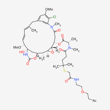 COc1cc2cc(c1Cl)N(C)C(=O)C[C@H](OC(=O)[C@H](C)N(C)C(=O)CCC(C)(C)SCC(=O)NCCOCCC(C)=O)[C@]1(C)O[C@H]1[C@H](C)[C@@H]1C[C@@](O)(NC(=O)O1)[C@H](OC)/C=C/C=C(\C)C2